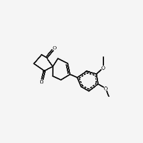 COc1ccc(C2=CCC3(CC2)C(=O)CCC3=O)cc1OC